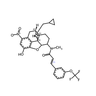 CN(C(=O)/C=C/c1cccc(OC(F)(F)F)c1)C1CC[C@@]2(O)[C@H]3Cc4c([N+](=O)[O-])cc(O)c5c4[C@@]2(CCN3CC2CC2)C1O5